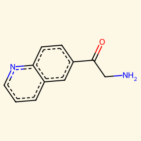 NCC(=O)c1ccc2ncccc2c1